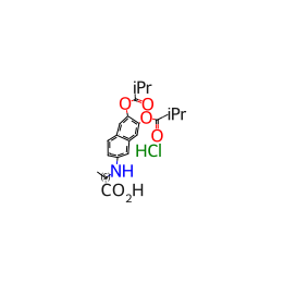 CC(C)C(=O)Oc1cc2ccc(N[C@@H](C)C(=O)O)cc2cc1OC(=O)C(C)C.Cl